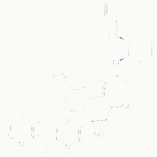 C=CC(=O)N[C@H]1CCCC[C@H]1NC(=O)c1sc2c(N)ccc3c2c1C(N)C(=O)C3(N)c1ccc(Oc2cccnn2)nc1C